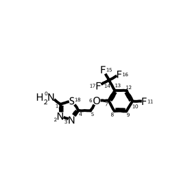 Nc1nnc(COc2ccc(F)cc2C(F)(F)F)s1